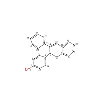 Brc1ccc(C2Cc3ccccc3C=C2c2ccccc2)cc1